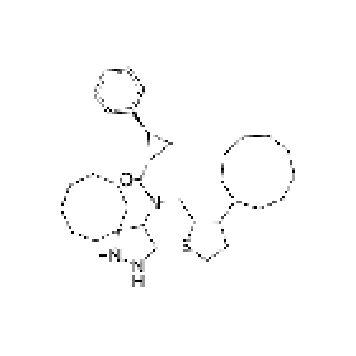 O=C([C@H]1C[C@@H]1c1ccccc1)N(CC1SCCC1C1CCCCCCCC1)C1CNNC12CCCCCCC2